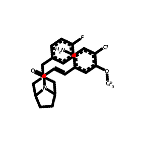 Nc1cc(Cl)c(OC(F)(F)F)cc1/C=C/C(=O)N1C2CCC1CN(Cc1ccc(F)cc1)C2